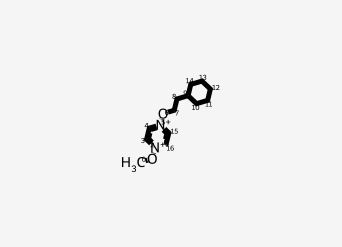 CO[n+]1cc[n+](OCCC2CCCCC2)cc1